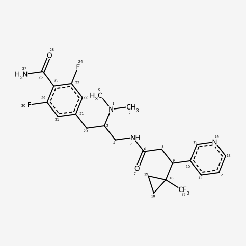 CN(C)C(CNC(=O)CC(c1cccnc1)C1(C(F)(F)F)CC1)Cc1cc(F)c(C(N)=O)c(F)c1